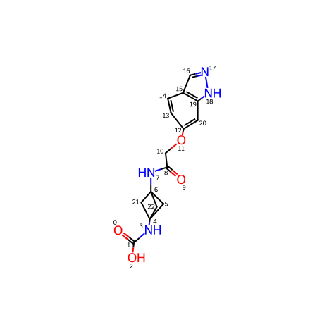 O=C(O)NC12CC(NC(=O)COc3ccc4cn[nH]c4c3)(C1)C2